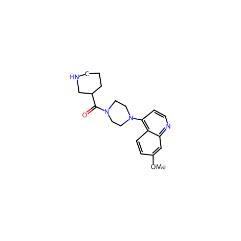 COc1ccc2c(N3CCN(C(=O)C4CCCNC4)CC3)ccnc2c1